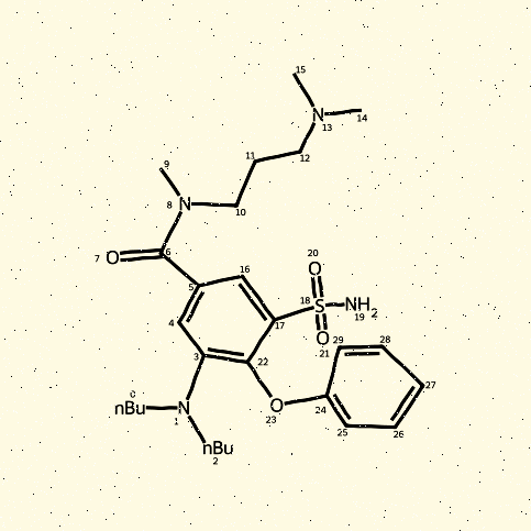 CCCCN(CCCC)c1cc(C(=O)N(C)CCCN(C)C)cc(S(N)(=O)=O)c1Oc1ccccc1